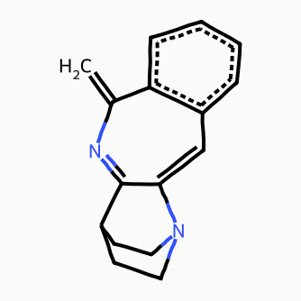 C=C1N=C2C(=Cc3ccccc31)N1CCC2CC1